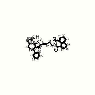 Cc1nnc2n1-c1sc(C#CCCN3C(=O)c4cccc5cccc(c45)C3=O)cc1C(c1ccccc1Cl)=NC2